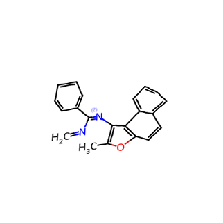 C=N/C(=N\c1c(C)oc2ccc3ccccc3c12)c1ccccc1